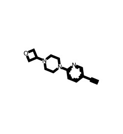 C#Cc1ccc(N2CCN(C3COC3)CC2)nc1